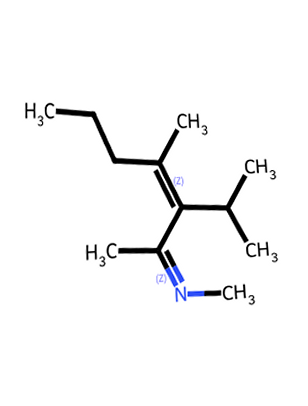 CCC/C(C)=C(\C(C)=N/C)C(C)C